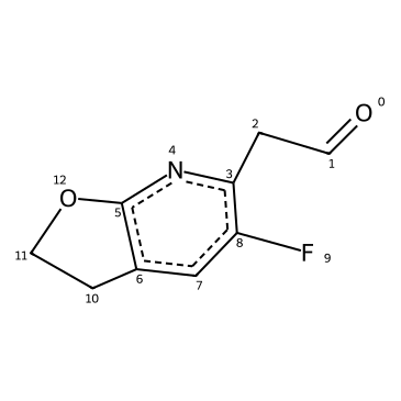 O=CCc1nc2c(cc1F)CCO2